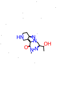 CC(O)C1=NN(C)C(=O)c2c3c(nn2C1)CCNC3